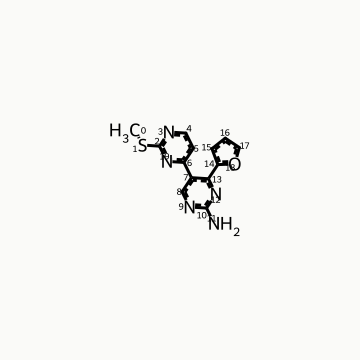 CSc1nccc(-c2cnc(N)nc2-c2ccco2)n1